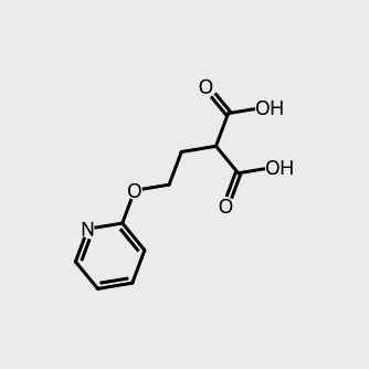 O=C(O)C(CCOc1ccccn1)C(=O)O